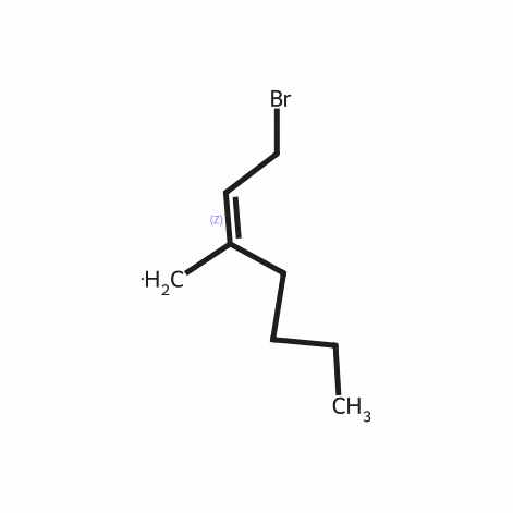 [CH2]/C(=C/CBr)CCCC